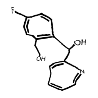 Oc1cc(F)ccc1C(O)c1ccccn1